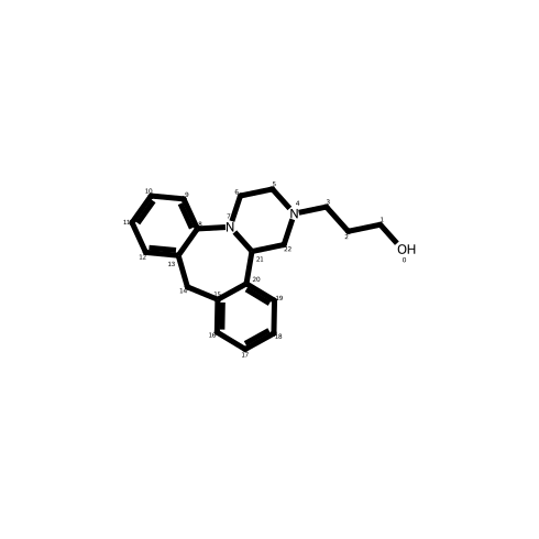 OCCCN1CCN2c3ccccc3Cc3ccccc3C2C1